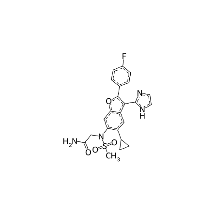 CS(=O)(=O)N(CC(N)=O)c1cc2oc(-c3ccc(F)cc3)c(-c3ncc[nH]3)c2cc1C1CC1